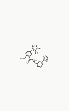 CCCc1ccc(NC(=O)C(C)C)cc1C(=O)NCc1cccc(-c2nccs2)c1